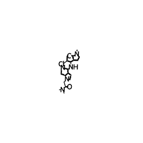 CN(C)C(=O)Cn1ccc2c(Nc3c(Cl)ccc4c3ccn4C)nccc21